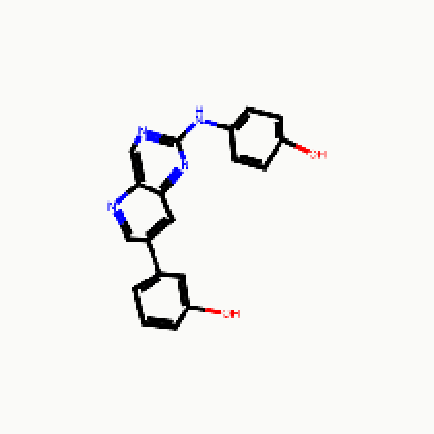 Oc1ccc(Nc2ncc3ncc(-c4cccc(O)c4)cc3n2)cc1